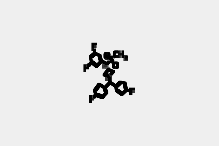 CS(=O)(=O)[C@@H](c1cc(F)cc(F)c1)C1CN(C(c2ccc(F)cc2)c2ccc(F)cc2)C1